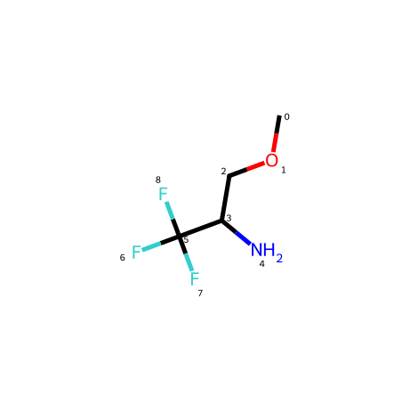 COCC(N)C(F)(F)F